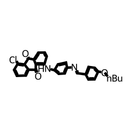 CCCCOc1ccc(C=Nc2ccc(Nc3cccc4c3C(=O)c3cccc(Cl)c3C4=O)cc2)cc1